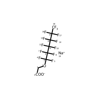 O=C([O-])COC(F)(F)C(F)(F)C(F)(F)C(F)(F)C(F)(F)C(F)(F)F.[Na+]